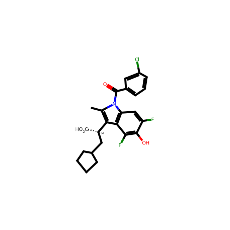 Cc1c([C@H](CC2CCCC2)C(=O)O)c2c(F)c(O)c(F)cc2n1C(=O)c1cccc(Cl)c1